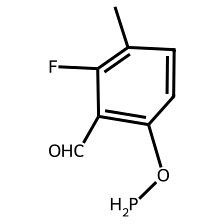 Cc1ccc(OP)c(C=O)c1F